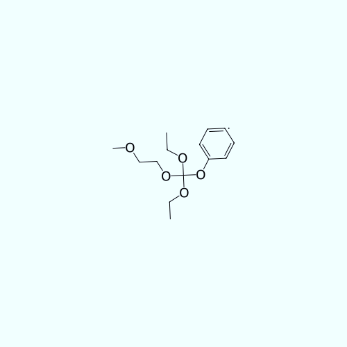 CCOC(OCC)(OCCOC)Oc1cc[c]cc1